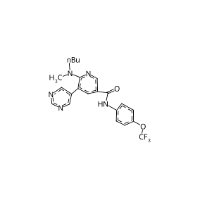 CCCCN(C)c1ncc(C(=O)Nc2ccc(OC(F)(F)F)cc2)cc1-c1cncnc1